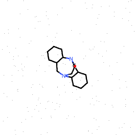 C1CCC2C(C1)CN1CCN2CC2CCCCC21